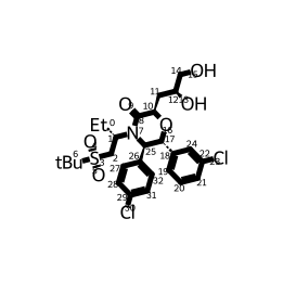 CC[C@@H](CS(=O)(=O)C(C)(C)C)N1C(=O)[C@@H](C[C@H](O)CO)O[C@H](c2cccc(Cl)c2)[C@H]1c1ccc(Cl)cc1